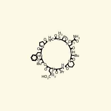 CCC(C)C1NC(=O)C(CCC(N)=O)N(C)C(=O)C(C(C)C)N(C)C(=O)CNC(=O)C2CCCN2C(=O)C(Cc2ccccc2)NC(=O)C(C(C)CC)OC(=O)C(CCC(=O)O)N(C)C(=O)C(C(C)C)NC(=O)C2CCCCN2C1=O